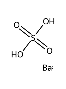 O=S(=O)(O)O.[Ba]